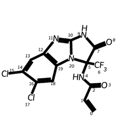 C=CC(=O)NC1(C(F)(F)F)C(=O)Nc2nc3cc(Cl)c(Cl)cc3n21